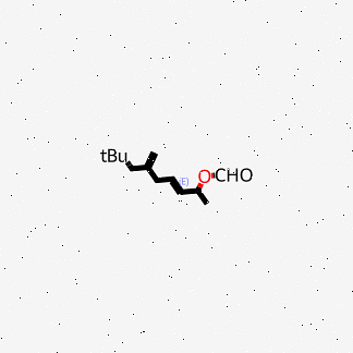 C=C(C/C=C/C(C)OC=O)CC(C)(C)C